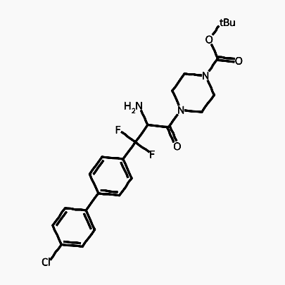 CC(C)(C)OC(=O)N1CCN(C(=O)C(N)C(F)(F)c2ccc(-c3ccc(Cl)cc3)cc2)CC1